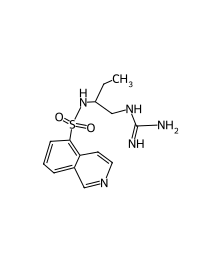 CCC(CNC(=N)N)NS(=O)(=O)c1cccc2cnccc12